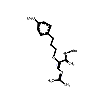 C=C(NCCCC)/C(=C\N=C(/C)N)OCCCc1ccc(OC)cc1